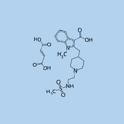 Cn1c(CC2CCN(CCNS(C)(=O)=O)CC2)c(C(=O)O)c2ccccc21.O=C(O)C=CC(=O)O